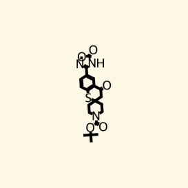 CC(C)(C)OC(=O)N1CCC2(CC1)CC(=O)c1cc(-c3noc(=O)[nH]3)ccc1S2